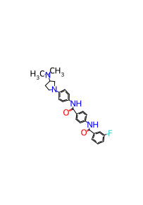 CN(C)C1CCN(c2ccc(NC(=O)c3ccc(NC(=O)c4cccc(F)c4)cc3)cc2)C1